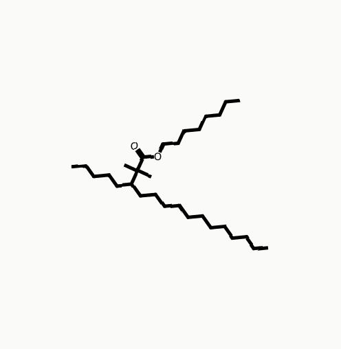 CCCCCCCCCCCCC(CCCCC)C(C)(C)C(=O)OCCCCCCCC